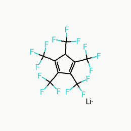 FC(F)(F)C1=C(C(F)(F)F)C(C(F)(F)F)C(C(F)(F)F)=C1C(F)(F)F.[Li]